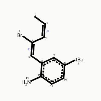 C/C=C\C(Br)=C/c1cc(C(C)(C)C)ccc1N